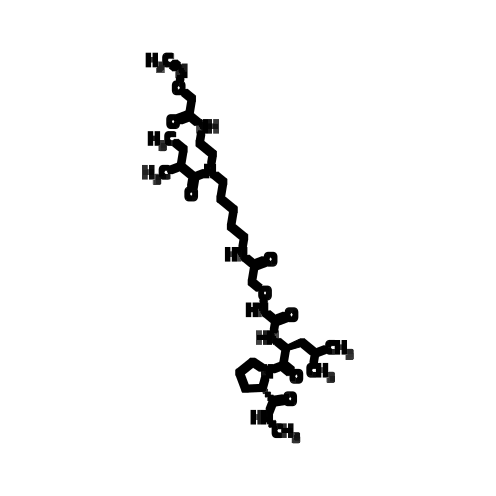 C=NOCC(=O)NCCN(CCCCCNC(=O)CONC(=O)N[C@@H](CC(C)C)C(=O)N1CCC[C@H]1C(=O)NC)C(=O)C(C)CC